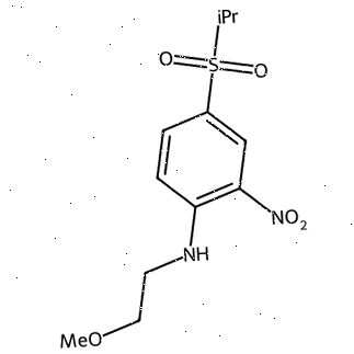 COCCNc1ccc(S(=O)(=O)C(C)C)cc1[N+](=O)[O-]